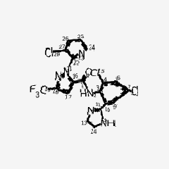 O=C(Nc1c(Cl)cc(Cl)cc1C1=NCCN1)c1cc(C(F)(F)F)nn1-c1ncccc1Cl